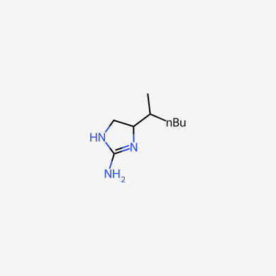 CCCCC(C)C1CNC(N)=N1